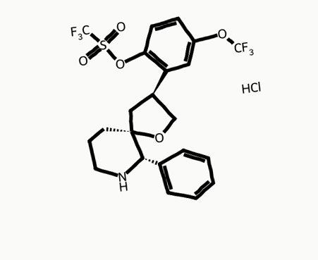 Cl.O=S(=O)(Oc1ccc(OC(F)(F)F)cc1[C@H]1CO[C@]2(CCCN[C@H]2c2ccccc2)C1)C(F)(F)F